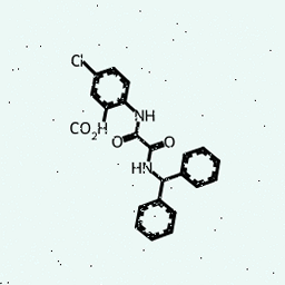 O=C(Nc1ccc(Cl)cc1C(=O)O)C(=O)NC(c1ccccc1)c1ccccc1